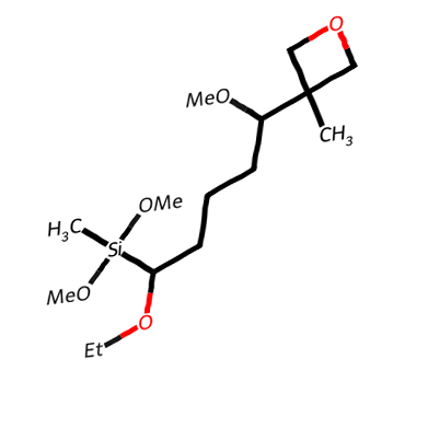 CCOC(CCCC(OC)C1(C)COC1)[Si](C)(OC)OC